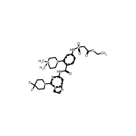 CCOC(=O)CS(=O)(=O)Nc1ccc(C(=O)Nc2cc3nccn3c(N3CCC(F)(F)CC3)n2)c(N2CC[Si](C)(C)CC2)c1